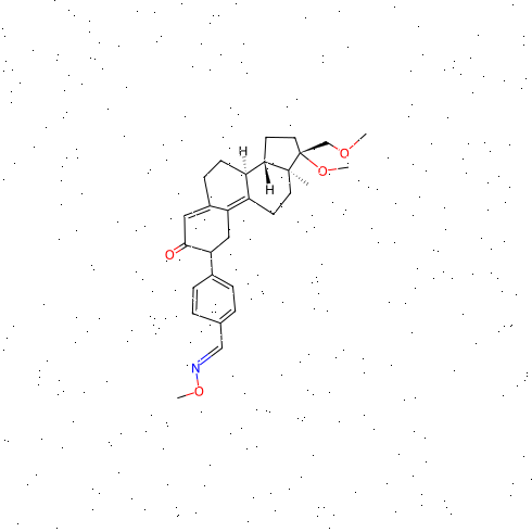 COC[C@]1(OC)CC[C@H]2[C@@H]3CCC4=CC(=O)C(c5ccc(C=NOC)cc5)CC4=C3CC[C@@]21C